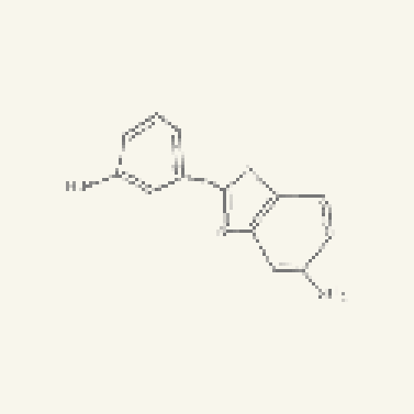 Nc1cccc(-c2nc3cc(N)ccc3s2)c1